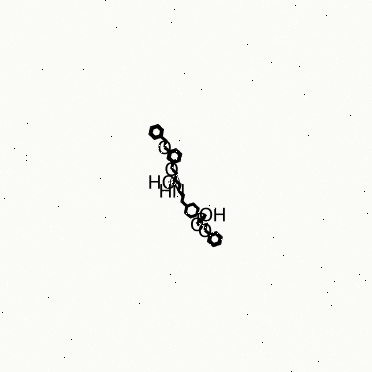 O=P(O)(COc1ccccc1)C1CCC(CCNC[C@H](O)COc2cccc(OCc3ccccc3)c2)CC1